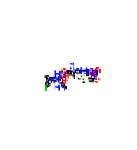 CN(CCCN1CCC(CNc2ccc(S(=O)(=O)NC(=O)c3ccc(N4CCN(CC5=C(c6ccc(Cl)cc6)CC(C)(C)CC5)CC4)cc3Oc3cnc4[nH]ccc4c3)cc2[N+](=O)[O-])CC1)CCSc1cccc2c1CN(C1CCC(=O)NC1=O)C2=O